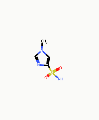 Cn1cnc(S([NH])(=O)=O)c1